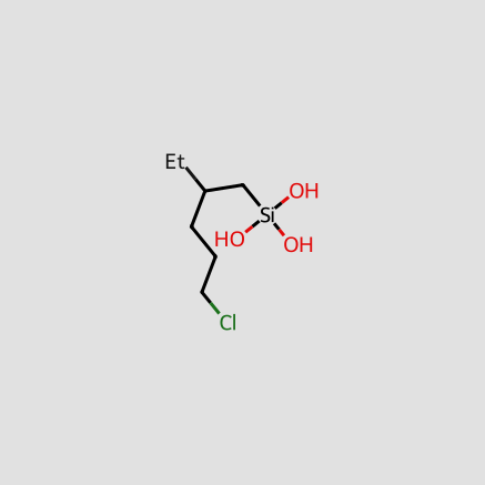 CCC(CCCCl)C[Si](O)(O)O